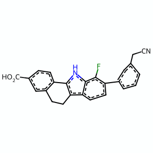 N#CCc1cccc(-c2ccc3c4c([nH]c3c2F)-c2ccc(C(=O)O)cc2CC4)c1